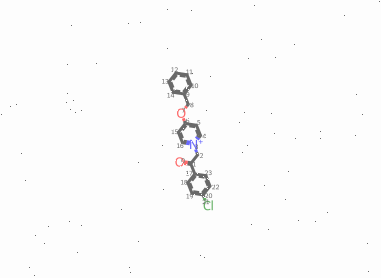 O=C(C[n+]1ccc(OCc2ccccc2)cc1)c1ccc(Cl)cc1